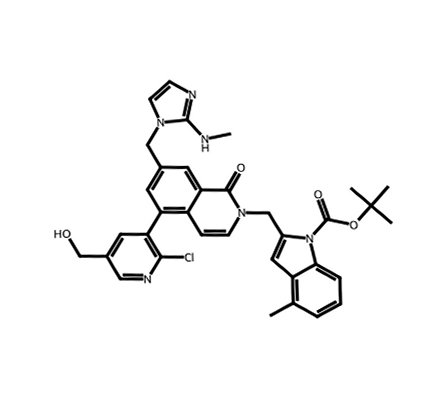 CNc1nccn1Cc1cc(-c2cc(CO)cnc2Cl)c2ccn(Cc3cc4c(C)cccc4n3C(=O)OC(C)(C)C)c(=O)c2c1